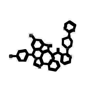 O=C(Nc1cccnc1N1CCN(c2ncccn2)CC1)c1[nH]c2cc(Cl)cc3c2c1-c1c(-c2ccccc2)ncn1C3c1ccc(Cl)cc1